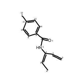 C=C/C(=C\C)NC(=O)c1ccc(I)cc1